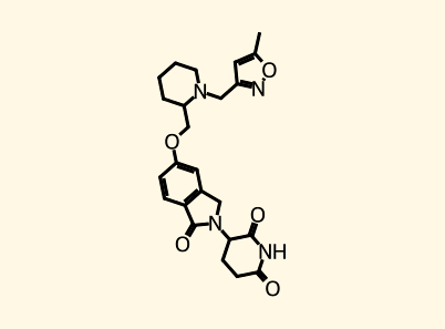 Cc1cc(CN2CCCCC2COc2ccc3c(c2)CN(C2CCC(=O)NC2=O)C3=O)no1